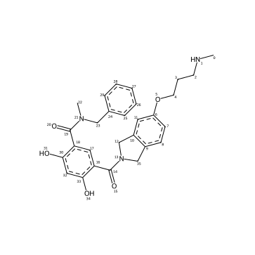 CNCCCOc1ccc2c(c1)CN(C(=O)c1cc(C(=O)N(C)Cc3ccccc3)c(O)cc1O)C2